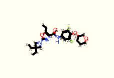 CCc1oc(N2CC(CC)(CC)C2)nc1C(=O)Nc1cc(F)c(OC2CCCOC2)c(F)c1